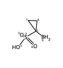 BC1(S(=O)(=O)O)CC1